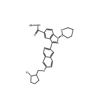 CCCCNC(=O)c1ccc2c(c1)c(-c1ccc3cc(OCC4CCCN4CC)ccc3c1)nn2[C@@H]1CCCCO1